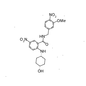 COc1cc(CNC(=O)c2cc([N+](=O)[O-])ccc2N[C@H]2CC[C@@H](O)CC2)ccc1[N+](=O)[O-]